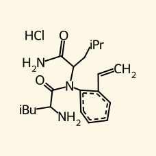 C=Cc1ccccc1N(C(=O)C(N)C(C)CC)C(CC(C)C)C(N)=O.Cl